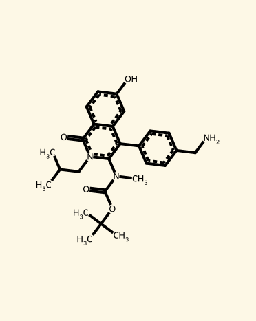 CC(C)Cn1c(N(C)C(=O)OC(C)(C)C)c(-c2ccc(CN)cc2)c2cc(O)ccc2c1=O